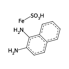 Nc1ccc2ccccc2c1N.O=[S](=O)(O)[Fe]